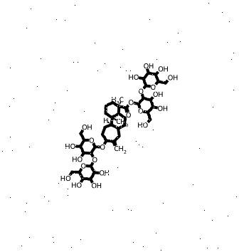 C=C1CC2CCC3[C@](C)(C(=O)OC4OC(CO)C(O)C(O)C4OC4OC(CO)C(O)C(O)C4O)CCC[C@@]3(C)[C@@H]2CCC1OC1OC(CO)C(O)C(O)C1OC1OC(CO)C(O)C(O)C1O